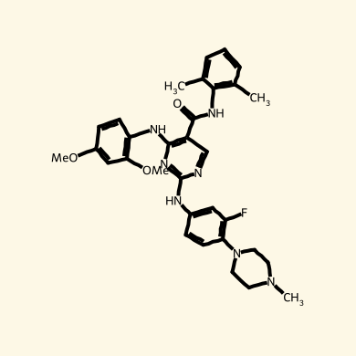 COc1ccc(Nc2nc(Nc3ccc(N4CCN(C)CC4)c(F)c3)ncc2C(=O)Nc2c(C)cccc2C)c(OC)c1